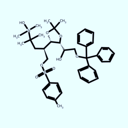 Cc1ccc(S(=O)(=O)OC[C@@H](CC(C)(C)[Si](C)(C)O)[C@@H]2OC(C)(C)O[C@@H]2C(O)COC(c2ccccc2)(c2ccccc2)c2ccccc2)cc1